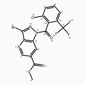 COC(=O)c1cnc2c(Br)nn(C(=O)c3c(Cl)cccc3C(F)(F)F)c2c1